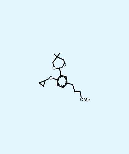 COCCCc1ccc(OC2CC2)c(B2OCC(C)(C)CO2)c1